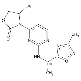 Cc1noc([C@H](C)Nc2nccc(N3C(=O)OCC3C(C)C)n2)n1